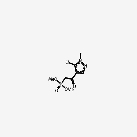 COP(=O)(CC(=O)c1cnn(C)c1Cl)OC